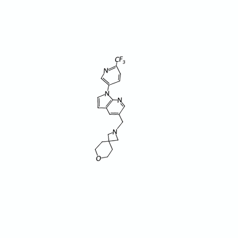 FC(F)(F)c1ccc(-n2ccc3cc(CN4CC5(CCOCC5)C4)cnc32)cn1